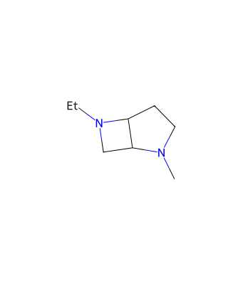 CCN1CC2C1CCN2C